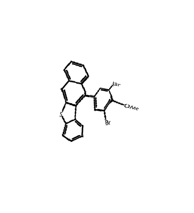 COc1c(Br)cc(-c2c3ccccc3cc3sc4ccccc4c23)cc1Br